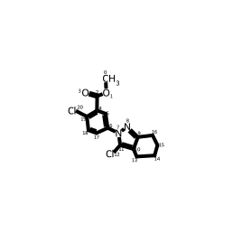 COC(=O)c1cc(-n2nc3c(c2Cl)CCCC3)ccc1Cl